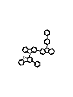 C1=Cc2c(n(-c3ccc(-c4ccccc4)cc3)c3cc(-c4ccc5c6ccccc6n(-c6cc(-c7ccccc7)cc7c6oc6ccccc67)c5c4)ccc23)CC1